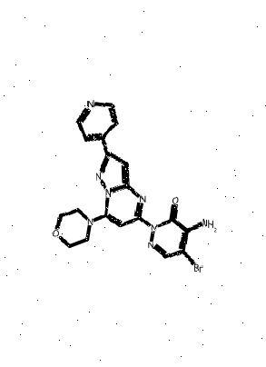 Nc1c(Br)cnn(-c2cc(N3CCOCC3)n3nc(-c4ccncc4)cc3n2)c1=O